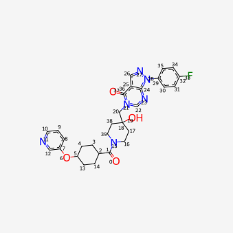 O=C(C1CCC(Oc2cccnc2)CC1)N1CCC(O)(Cn2cnc3c(cnn3-c3ccc(F)cc3)c2=O)CC1